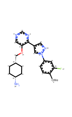 COc1ccc(-n2cc(-c3ncncc3OC[C@H]3CC[C@@H](N)CC3)cn2)cc1F